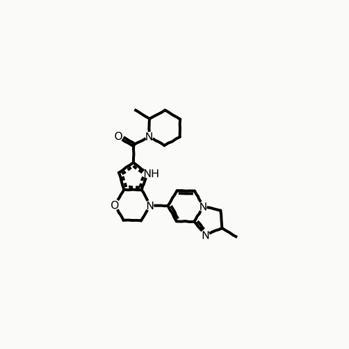 CC1CN2C=CC(N3CCOc4cc(C(=O)N5CCCCC5C)[nH]c43)=CC2=N1